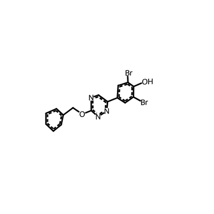 Oc1c(Br)cc(-c2cnc(OCc3ccccc3)nn2)cc1Br